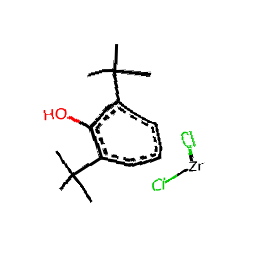 CC(C)(C)c1cccc(C(C)(C)C)c1O.[Cl][Zr][Cl]